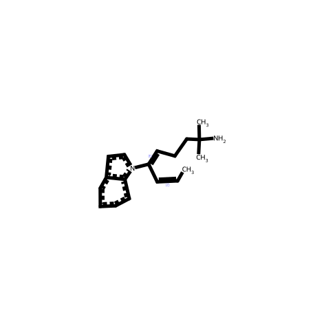 C/C=C\C(=C/CCC(C)(C)N)n1ccc2ccccc21